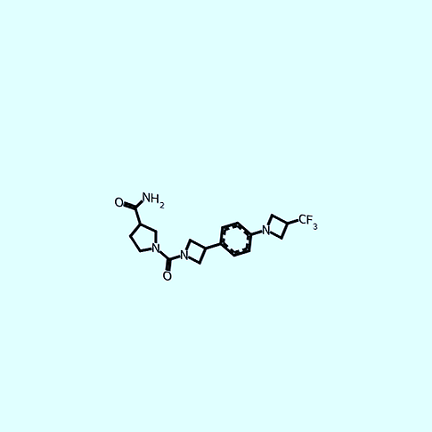 NC(=O)C1CCN(C(=O)N2CC(c3ccc(N4CC(C(F)(F)F)C4)cc3)C2)C1